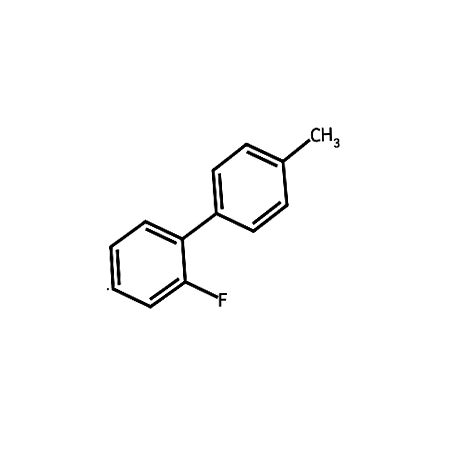 Cc1ccc(-c2cc[c]cc2F)cc1